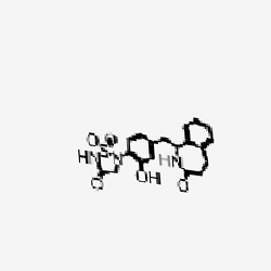 O=C1CCc2ccccc2C(Cc2ccc(N3CC(=O)NS3(=O)=O)c(O)c2)N1